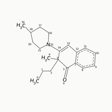 CCCC1(C)C(=O)c2ccccc2C=C1N1CCC(C)CC1